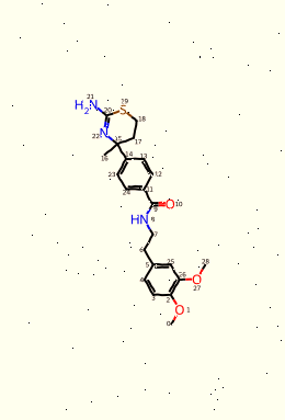 COc1ccc(CCNC(=O)c2ccc(C3(C)CCSC(N)=N3)cc2)cc1OC